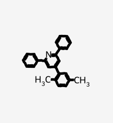 Cc1ccc(C)c(-c2cc(-c3ccccc3)nc(-c3ccccc3)c2)c1